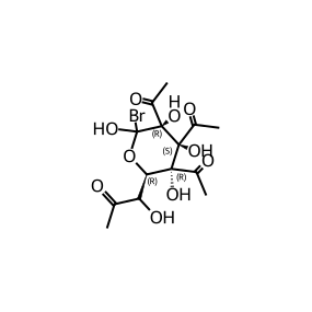 CC(=O)C(O)[C@H]1OC(O)(Br)[C@](O)(C(C)=O)[C@](O)(C(C)=O)[C@@]1(O)C(C)=O